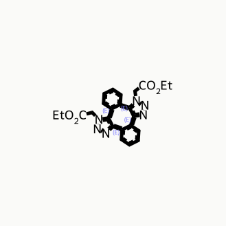 CCOC(=O)Cn1nnc2/c1=c1/cccc/c1=c1/c(nnn1CC(=O)OCC)=c1/cccc/c1=2